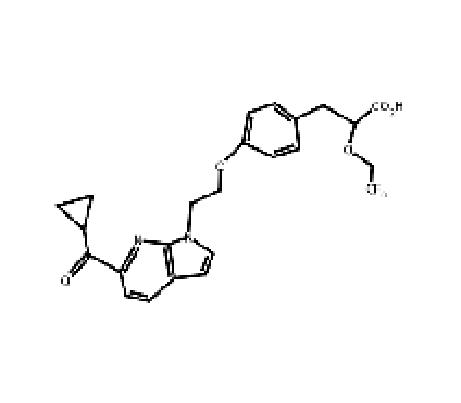 O=C(c1ccc2ccn(CCOc3ccc(CC(OCC(F)(F)F)C(=O)O)cc3)c2n1)C1CC1